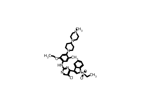 CCOc1cc(N2CCC(N3CCN(C)CC3)CC2)c(C)cc1Nc1ncc(Cl)c(-c2cn(S(=O)(=O)CC)c3ccccc23)n1